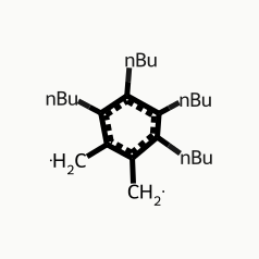 [CH2]c1c([CH2])c(CCCC)c(CCCC)c(CCCC)c1CCCC